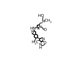 Cc1c(-c2cc3cc(Nc4cc(CCN(C)CCO)n(CC=O)n4)ncc3cc2F)cnc2c1NCCO2